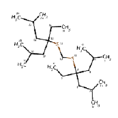 CCC(CC(C)C)(CC(C)C)SCSC(CC)(CC(C)C)CC(C)C